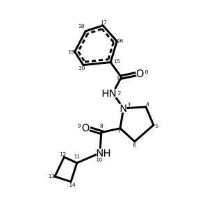 O=C(NN1CCCC1C(=O)NC1CCC1)c1ccccc1